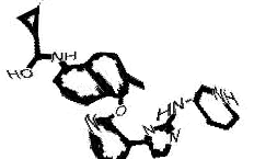 Cc1ccc2c(NC(O)C3C[C@@H]3C)cccc2c1Oc1ncccc1-c1ccnc(N[C@H]2CCCNC2)n1